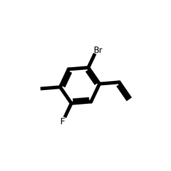 C=Cc1cc(F)c(C)cc1Br